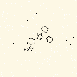 C=CC(OC(=O)NO)c1cc(-c2ccccc2)n(-c2ccccc2)n1